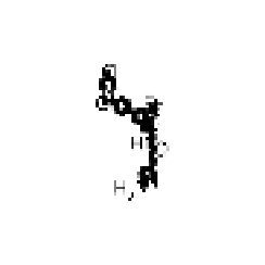 Nc1ccc(C=CC(=O)NCc2cc3cc(-c4ccc(C(=O)N5CCC(Cl)CC5)cc4)cc(C(F)(F)F)c3o2)cn1